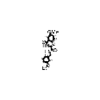 CCOc1cccc(CNC(=O)c2nc3ccc(OC)cc3c(=O)[nH]2)c1